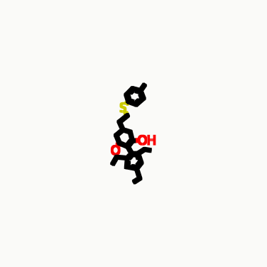 CCc1cc(CC)c(C2=C(O)CC(CCSc3ccc(C)cc3)CC2=O)c(CC)c1